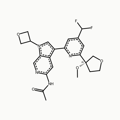 CO[C@@]1(c2cc(C(F)F)cc(-c3cn(C4COC4)c4cnc(NC(C)=O)cc34)n2)CCOC1